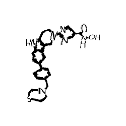 O=C(NO)c1cnc(N2CCc3[nH]c4ccc(-c5ccc(CN6CCSCC6)cc5)cc4c3C2)nc1